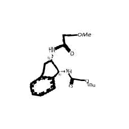 COCC(=O)N[C@H]1Cc2ccccc2[C@H]1NC(=O)OC(C)(C)C